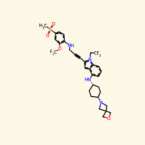 CS(=O)(=O)c1ccc(NCC#Cc2cc3c(N[C@H]4CC[C@H](N5CC6(COC6)C5)CC4)cccc3n2CC(F)(F)F)c(OC(F)(F)F)c1